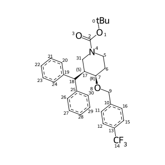 CC(C)(C)OC(=O)N1CC[C@@H](OCc2ccc(C(F)(F)F)cc2)[C@@H](C(c2ccccc2)c2ccccc2)C1